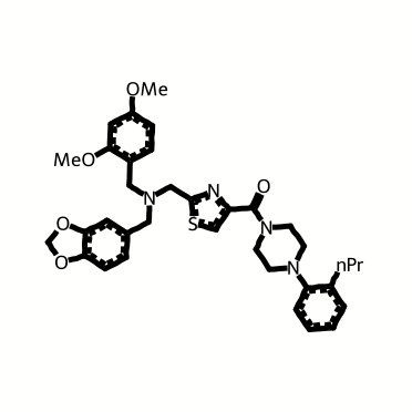 CCCc1ccccc1N1CCN(C(=O)c2csc(CN(Cc3ccc4c(c3)OCO4)Cc3ccc(OC)cc3OC)n2)CC1